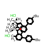 CC1=Cc2c(-c3ccc(C(C)(C)C)cc3)ccc(C)c2[CH]1[Zr]([CH3])([CH3])(=[SiH2])[CH]1C([Si](C)(C)C)=Cc2c(-c3ccc(C(C)(C)C)cc3)cccc21.Cl.Cl